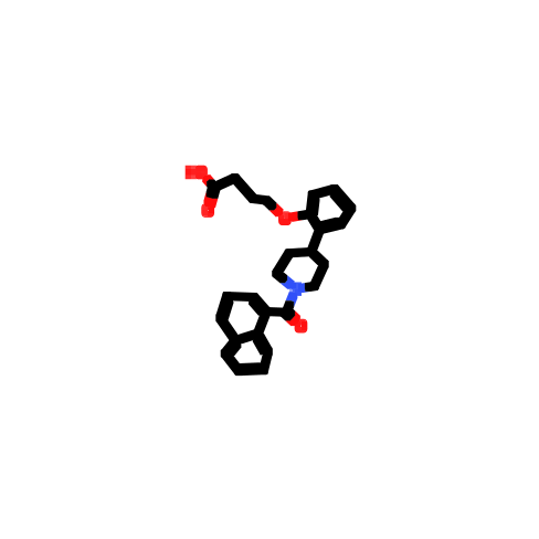 O=C(O)CCCOc1ccccc1C1CCN(C(=O)c2cccc3ccccc23)CC1